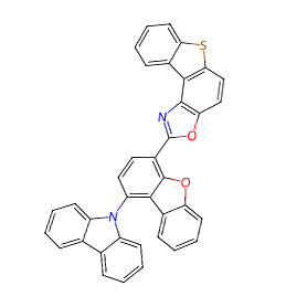 c1ccc2c(c1)oc1c(-c3nc4c(ccc5sc6ccccc6c54)o3)ccc(-n3c4ccccc4c4ccccc43)c12